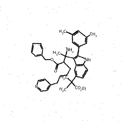 CCOC(=O)C(C)(C)c1ccc2[nH]c(-c3cc(C)cc(C)c3)c(C(C)(N)C(CCCCc3ccncc3)C(=O)OCc3ccccc3)c2c1